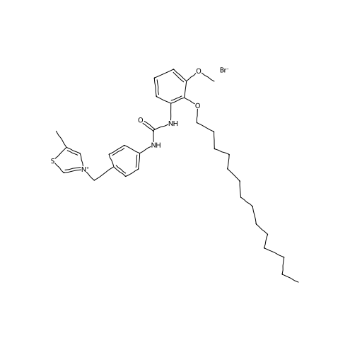 CCCCCCCCCCCCCCOc1c(NC(=O)Nc2ccc(C[n+]3csc(C)c3)cc2)cccc1OC.[Br-]